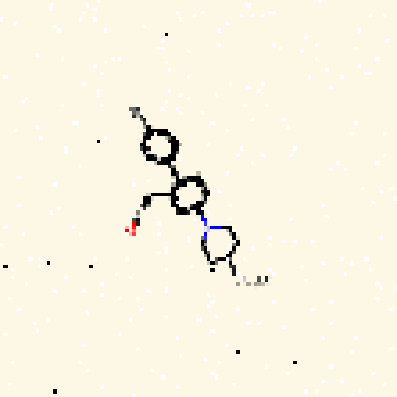 CCOC(=O)C1CCN(c2ccc(-c3ccc(C#N)cc3)c(C=C=O)c2)CC1